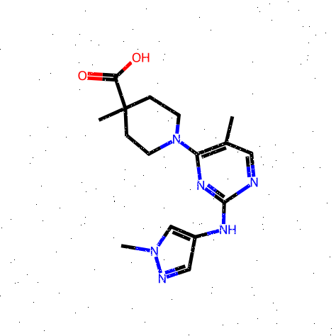 Cc1cnc(Nc2cnn(C)c2)nc1N1CCC(C)(C(=O)O)CC1